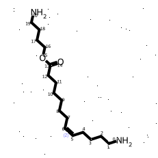 NCCCC/C=C\CCCCCCC(=O)OCCCCN